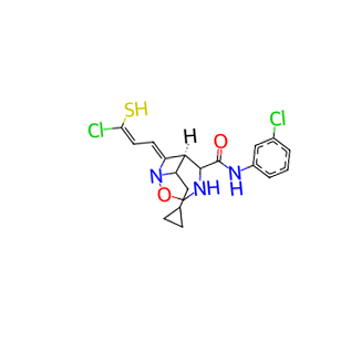 O=C(Nc1cccc(Cl)c1)C1NCON2/C(=C\C=C(/S)Cl)[C@@H]1C2CC1CC1